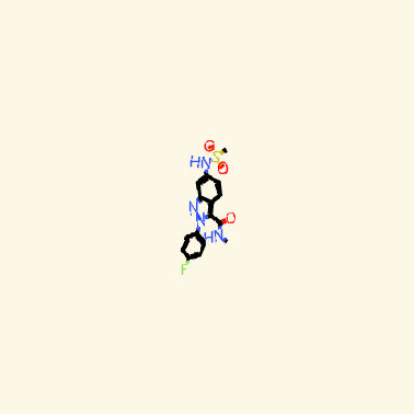 CNC(=O)c1c2ccc(NS(C)(=O)=O)cc2nn1-c1ccc(F)cc1